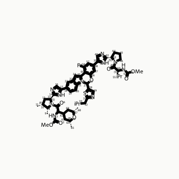 COC(=O)NC(C(=O)N1[C@H](C)[C@H](C)C[C@H]1c1ncc(-c2ccc3c(c2)cc2n3C(c3cnc(CC(C)C)s3)Oc3cc(-c4cnc([C@@H]5CCCN5C(=O)[C@@H](NC(=O)OC)C(C)C)[nH]4)cc(F)c3-2)[nH]1)C1C[C@@H](C)O[C@@H](C)C1